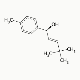 Cc1ccc([C@@H](O)/C=C/C(C)(C)C)cc1